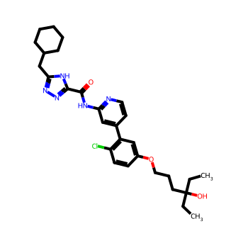 CCC(O)(CC)CCCOc1ccc(Cl)c(-c2ccnc(NC(=O)c3nnc(CC4CCCCC4)[nH]3)c2)c1